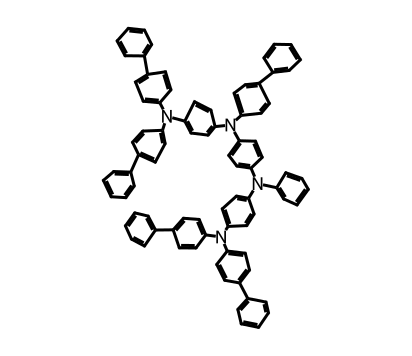 c1ccc(-c2ccc(N(c3ccc(-c4ccccc4)cc3)c3ccc(N(c4ccccc4)c4ccc(N(c5ccc(-c6ccccc6)cc5)c5ccc(N(c6ccc(-c7ccccc7)cc6)c6ccc(-c7ccccc7)cc6)cc5)cc4)cc3)cc2)cc1